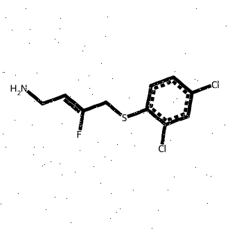 NC/C=C(\F)CSc1ccc(Cl)cc1Cl